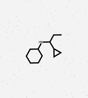 CCC(NC1CCCCC1)C1CC1